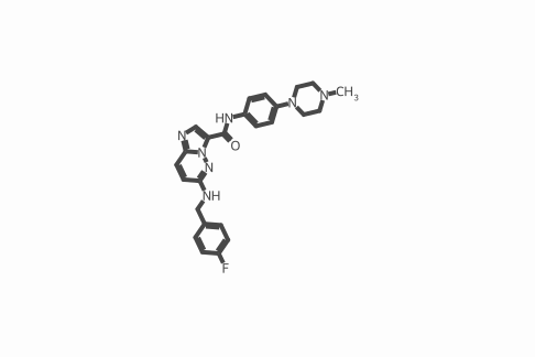 CN1CCN(c2ccc(NC(=O)c3cnc4ccc(NCc5ccc(F)cc5)nn34)cc2)CC1